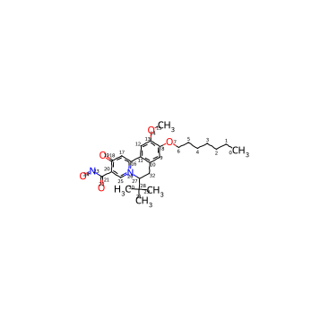 CCCCCCCOc1cc2c(cc1OC)-c1cc(=O)c(C(=O)N=O)cn1C(C(C)(C)C)C2